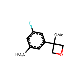 COC1(c2cc(F)cc(C(=O)O)c2)COC1